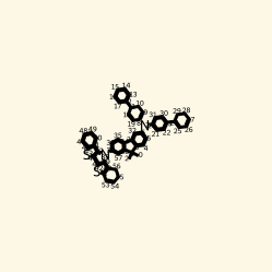 CC1(C)c2ccc(N(C3=CCC(c4ccccc4)C=C3)c3ccc(C4=CC=CCC4)cc3)cc2-c2ccc(-n3c4c5c(sc4c4sc6ccccc6c43)C=CCC5)cc21